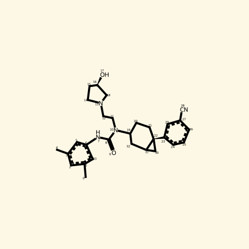 Cc1cc(C)cc(NC(=O)N(CCN2CC[C@@H](O)C2)C2CC[C@]3(c4cccc(C#N)c4)CC3C2)c1